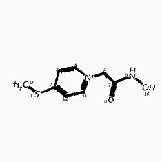 [CH2]Sc1cc[n+](CC(=O)NO)cc1